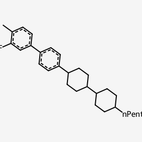 CCCCCC1CCC(C2CCC(c3ccc(-c4ccc(C)c(F)c4)cc3)CC2)CC1